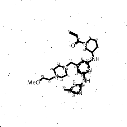 C=CC(=O)N1CCCC(Nc2cc(CN3CCN(CCOC)CC3)cc(Nc3ncc(C)s3)n2)C1